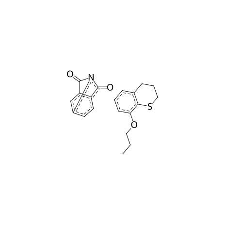 CCCOc1cccc2c1SCCC2.O=C1c2cc3ccc2c(=O)n31